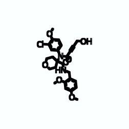 COc1ccc(CNC(=O)C2(N(C(=O)C#CCO)c3ccc(OC)c(Cl)c3)CCOCC2)c(OC)c1